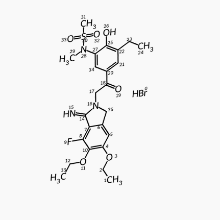 Br.CCOc1cc2c(c(F)c1OCC)C(=N)N(CC(=O)c1cc(CC)c(O)c(N(C)S(C)(=O)=O)c1)C2